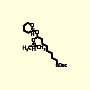 CCCCCCCCCCCCCCCCCC(O[SiH](C)C)O[SiH]1CCCCO1